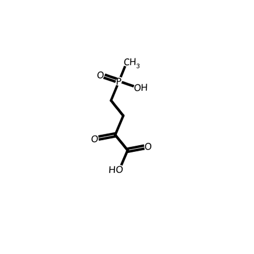 CP(=O)(O)CCC(=O)C(=O)O